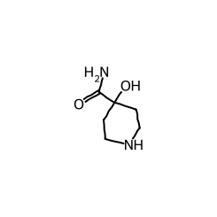 NC(=O)C1(O)CCNCC1